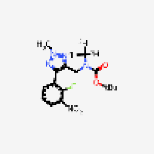 [2H]C([2H])([2H])N(Cc1nn(C)nc1-c1cccc([N+](=O)[O-])c1F)C(=O)OC(C)(C)C